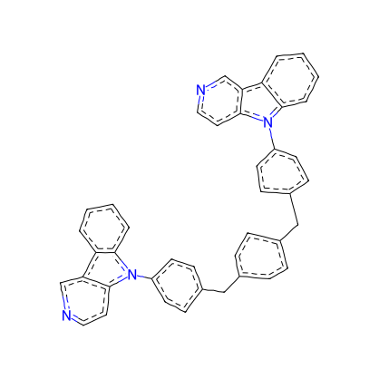 c1ccc2c(c1)c1cnccc1n2-c1ccc(Cc2ccc(Cc3ccc(-n4c5ccccc5c5cnccc54)cc3)cc2)cc1